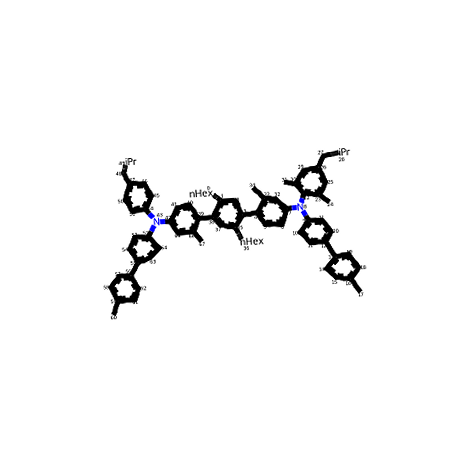 CCCCCCc1cc(-c2ccc(N(c3ccc(-c4ccc(C)cc4)cc3)c3c(C)cc(CC(C)C)cc3C)cc2C)c(CCCCCC)cc1-c1ccc(N(c2ccc(CC(C)C)cc2)c2ccc(-c3ccc(C)cc3)cc2)cc1C